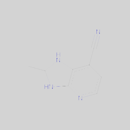 CC1Nc2nccc(C#N)c2N1